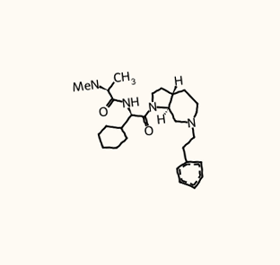 CN[C@@H](C)C(=O)N[C@@H](C(=O)N1CC[C@@H]2CCCN(CCc3ccccc3)C[C@H]21)C1CCCCC1